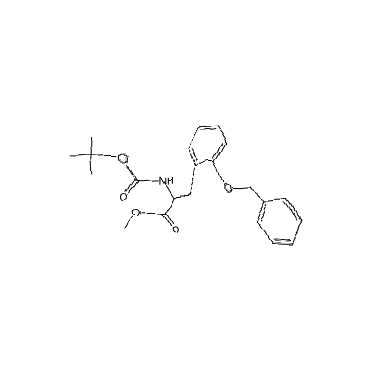 COC(=O)C(Cc1ccccc1OCc1ccccc1)NC(=O)OC(C)(C)C